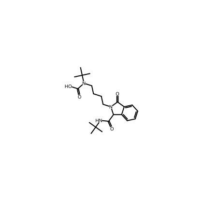 CC(C)(C)NC(=O)C1c2ccccc2C(=O)N1CCCCN(C(=O)O)C(C)(C)C